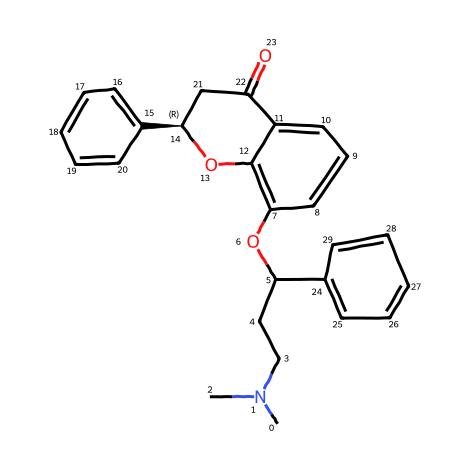 CN(C)CCC(Oc1cccc2c1O[C@@H](c1ccccc1)CC2=O)c1ccccc1